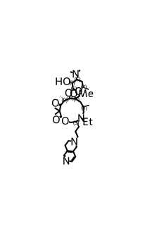 CCN1C[C@H](C)C[C@@](C)(OC)[C@H](O[C@@H]2O[C@H](C)C[C@H](N(C)C)[C@H]2O)[C@@H](C)C(=O)C(C)(C)C(=O)OC[C@@H]1CCCN1CCc2cnccc2C1